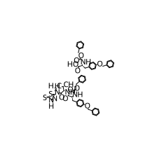 CC(C)[C@H](NC(=O)[C@H](Cc1ccc(OCc2ccccc2)cc1)NC(=O)OCc1ccccc1)C(=O)Nc1n[nH]c(=S)s1.O=C(N[C@@H](Cc1ccc(OCc2ccccc2)cc1)C(=O)O)OCc1ccccc1